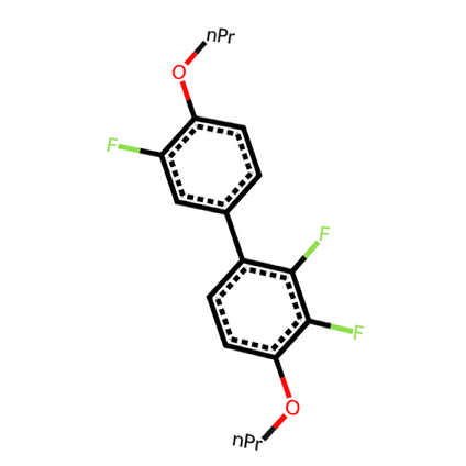 CCCOc1ccc(-c2ccc(OCCC)c(F)c2F)cc1F